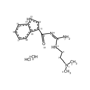 CN(C)CCNC(N)=NC(=O)c1c[nH]c2ccccc12.Cl.Cl